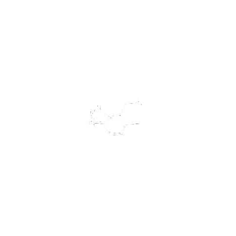 Cc1ccc2[nH]cnc2c1CN